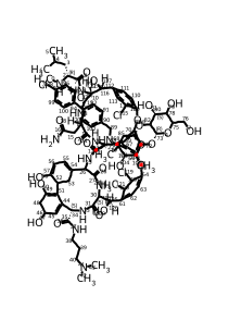 CN[C@H](CC(C)C)C(=O)N[C@H]1C(=O)N[C@@H](CC(N)=O)C(=O)N[C@H]2C(=O)NC3C(=O)N[C@H](C(=O)N[C@H](C(=O)NCCCN(C)C)C4=CC(O)CC(O)=C4C4CC3=CC=C4O)[C@H](O)C3=CC=C(Oc4cc2cc(c4O[C@H]2OC(CO)C(O)[C@H](O)C2O[C@H]2CC(C)(NCc4ccc(-c5ccc(Cl)cc5)cc4)[C@H](O)C(C)O2)Oc2ccc(cc2Cl)[C@H]1O)C(Cl)C3C